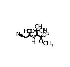 COC(=O)C(NC(=O)CC#N)C(C)(C)C